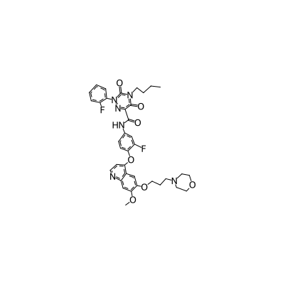 CCCCn1c(=O)c(C(=O)Nc2ccc(Oc3ccnc4cc(OC)c(OCCCN5CCOCC5)cc34)c(F)c2)nn(-c2ccccc2F)c1=O